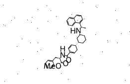 COC(=O)[C@@H](Cc1ccccc1)NC(=O)C1=CCC([C@H]2CCC[C@H](N[C@H](C)c3cccc4ccccc34)C2)C=C1